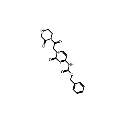 O=C(Nc1ccn(CC(=O)N2CCNCC2=O)c(=O)n1)OCc1ccccc1